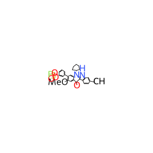 C#Cc1ccc2c(c1)[nH]c1c2c(=O)c2cc(OC)c(-c3cccc(OS(=O)(=O)F)c3)cc2n1C1CCCCC1